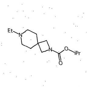 CCN1CCC2(CC1)CN(C(=O)OC(C)C)C2